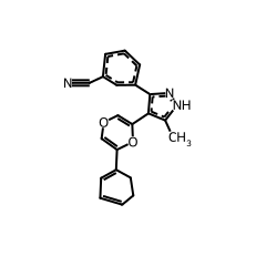 Cc1[nH]nc(-c2cccc(C#N)c2)c1C1=COC=C(C2=CC=CCC2)O1